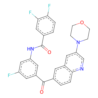 O=C(Nc1cc(F)cc(C(=O)c2ccc3ncc(N4CCOCC4)cc3c2)c1)c1ccc(F)c(F)c1